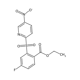 CCOC(=O)c1ccc(F)cc1S(=O)(=O)c1ccc([N+](=O)[O-])cn1